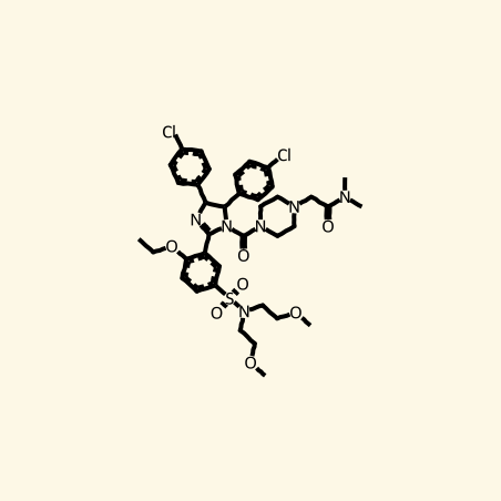 CCOc1ccc(S(=O)(=O)N(CCOC)CCOC)cc1C1=NC(c2ccc(Cl)cc2)C(c2ccc(Cl)cc2)N1C(=O)N1CCN(CC(=O)N(C)C)CC1